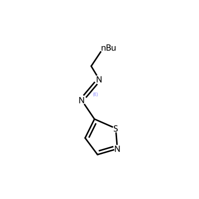 CCCCC/N=N/c1ccns1